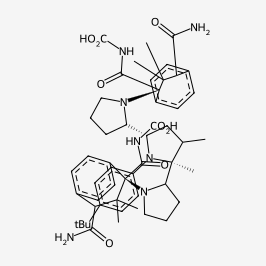 CC1C[C@@H](C2CCCN2[C@]2(C(=O)NC(=O)O)c3ccc(cc3)C(C(N)=O)C2(C)C)N(c2ccc(C(C)(C)C)cc2)[C@]1(C)C1CCCN1[C@]1(C(=O)NC(=O)O)c2ccc(cc2)C(C(N)=O)C1(C)C